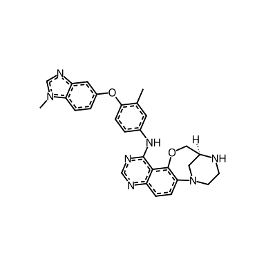 Cc1cc(Nc2ncnc3ccc4c(c23)OC[C@@H]2CN4CCN2)ccc1Oc1ccc2c(c1)ncn2C